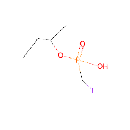 CCC(C)OP(=O)(O)CI